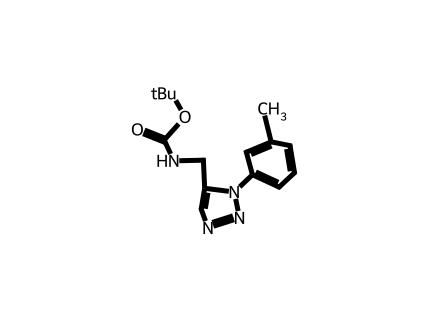 Cc1cccc(-n2nncc2CNC(=O)OC(C)(C)C)c1